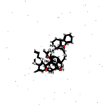 C=CCOc1c(OC)c(C)cc2c1[C@H]1C3[C@@H]4SC[C@]5(NCCc6c5[nH]c5ccccc65)C(=O)COC[C@@H](c5c6c(c(C)c(OC(C)=O)c54)OCO6)N3[C@@H](O)[C@@H](C2)N1C